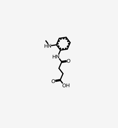 CNc1ccccc1NC(=O)CCC(=O)O